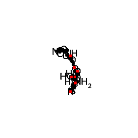 Cc1ncsc1-c1ccc([C@@H](CN)NC(=O)[C@@H]2C[C@@H](O)CN2C(=O)C(NC(=O)COCCCCCOc2ccc(C(=O)N[C@H]3C(C)(C)[C@H](Oc4ccc(C#N)c(Cl)c4)C3(C)C)cc2)C(C)(C)C)cc1